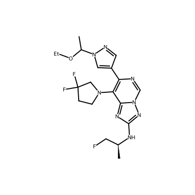 CCOC(C)n1cc(-c2ncn3nc(N[C@@H](C)CF)nc3c2N2CCC(F)(F)C2)cn1